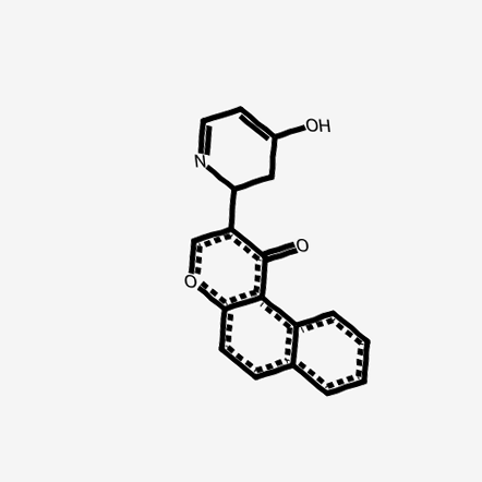 O=c1c(C2CC(O)=CC=N2)coc2ccc3ccccc3c12